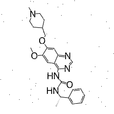 COc1cc2c(NC(=O)N[C@@H](C)c3ccccc3)ncnc2cc1OCC1CCN(C)CC1